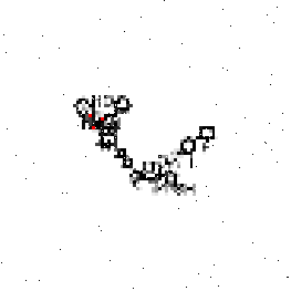 CC(C)[C@@H](C(=O)N1C[C@H](O)C[C@H]1C(=O)NOc1ccc(-c2ccccc2F)cc1)c1onc([C@H]2CC3(C2)C[C@H](N2CCC(c4cnc(N5C6CCC5CN(c5c[nH]c7nnc(-c8ccccc8O)cc57)C6)nc4)CC2)C3)c1Cl